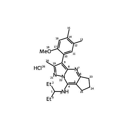 CCC(CC)Nc1c2c(nc3c(-c4cc(C)c(C)cc4OC)c(C)nn13)CCC2.Cl